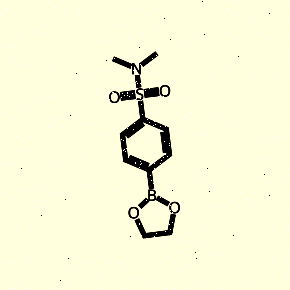 CN(C)S(=O)(=O)c1ccc(B2OCCO2)cc1